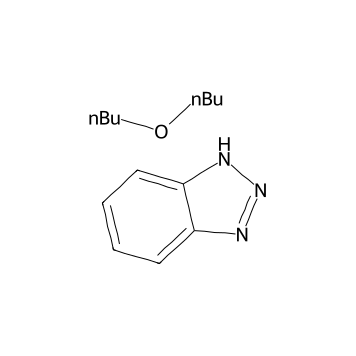 CCCCOCCCC.c1ccc2[nH]nnc2c1